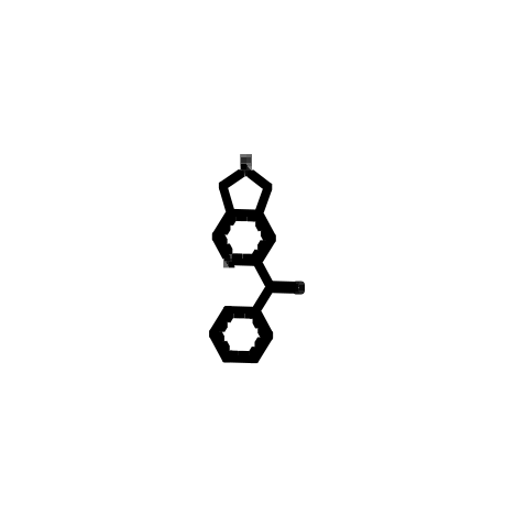 O=C(c1ccccc1)c1cc2c(cn1)CNC2